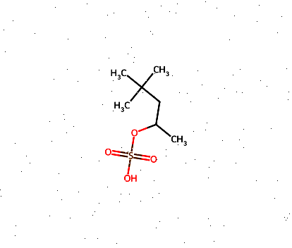 CC(CC(C)(C)C)OS(=O)(=O)O